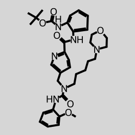 COc1ccccc1NC(=O)N(CCCCCN1CCOCC1)Cc1ccc(C(=O)Nc2ccccc2NC(=O)OC(C)(C)C)nc1